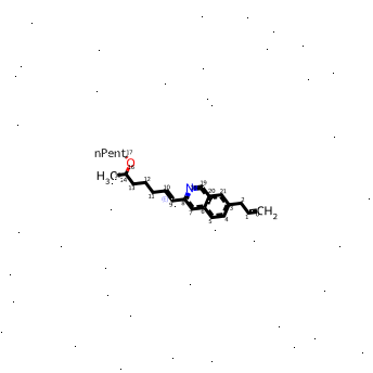 C=CCc1ccc2cc(/C=C/CCCC(C)OCCCCC)ncc2c1